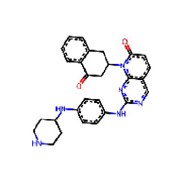 O=C1CC(n2c(=O)ccc3cnc(Nc4ccc(NC5CCNCC5)cc4)nc32)Cc2ccccc21